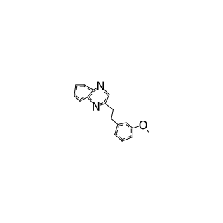 COc1cccc(CCc2cnc3ccccc3n2)c1